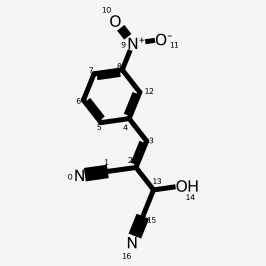 N#C/C(=C\c1cccc([N+](=O)[O-])c1)C(O)C#N